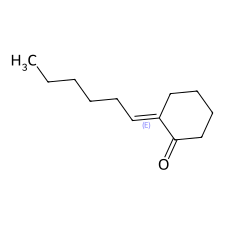 CCCCC/C=C1\CCCCC1=O